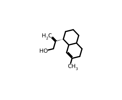 C=C(CO)[C@@H]1CCCC2CCC(C)=CC21